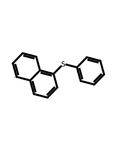 [c]1cccc2c(Sc3ccccc3)cccc12